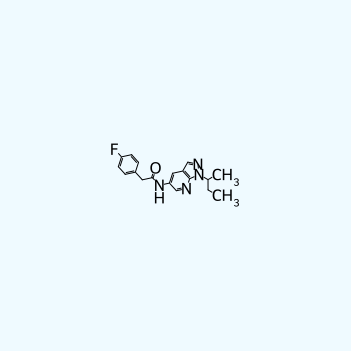 CCC(C)n1ncc2cc(NC(=O)Cc3ccc(F)cc3)cnc21